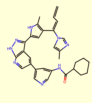 C=C/C=C(\c1cc(-c2n[nH]c3ncc(-c4cncc(NC(=O)C5CCCCC5)c4)cc23)[nH]c1C)n1cnc(C)c1